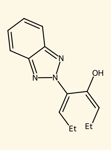 CC/C=C(O)\C(=C/CC)n1nc2ccccc2n1